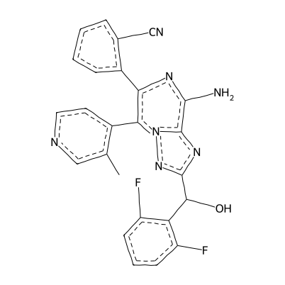 Cc1cnccc1-c1c(-c2ccccc2C#N)nc(N)c2nc(C(O)c3c(F)cccc3F)nn12